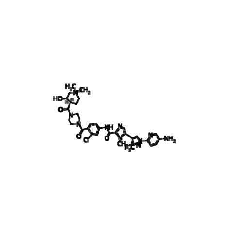 Cn1c(-c2cn(-c3ccc(N)cn3)nc2C(F)(F)F)cnc1C(=O)Nc1ccc(C(=O)N2CCN(C(=O)[C@@H]3CC[N+](C)(C)C[C@@H]3O)CC2)c(Cl)c1